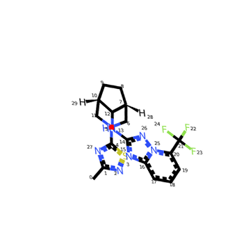 Cc1nsc(N2C[C@H]3CC[C@@H](C2)C3Nc2nc3cccc(C(F)(F)F)n3n2)n1